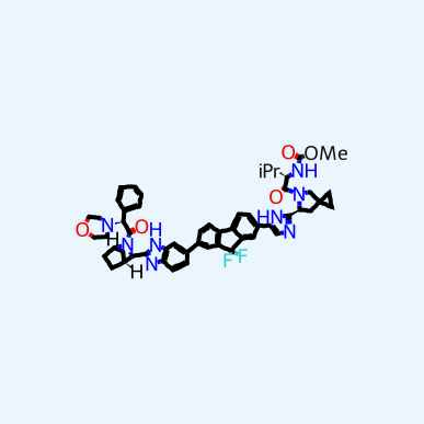 COC(=O)N[C@H](C(=O)N1CC2(CC2)C[C@H]1c1ncc(-c2ccc3c(c2)C(F)(F)c2cc(-c4ccc5nc(C6[C@H]7CC[C@H](C7)N6C(=O)[C@@H](c6ccccc6)N6CCOCC6)[nH]c5c4)ccc2-3)[nH]1)C(C)C